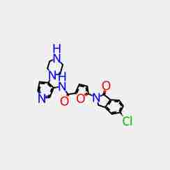 O=C(Nc1cnccc1N1CCNCC1)c1ccc(N2Cc3cc(Cl)ccc3C2=O)o1